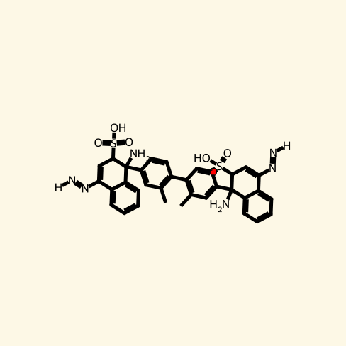 [H]/N=N/C1=CC(S(=O)(=O)O)C(N)(c2ccc(-c3ccc(C4(N)c5ccccc5C(/N=N/[H])=CC4S(=O)(=O)O)cc3C)c(C)c2)c2ccccc21